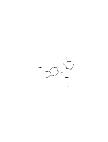 Cc1cc2c(cnn2C(=O)OC(C)(C)C)cc1N(C(=O)OC(C)(C)C)c1ccnc(Cl)n1